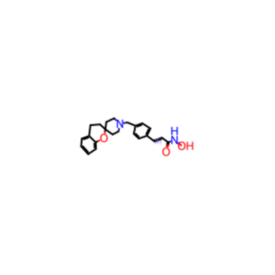 O=C(/C=C/c1ccc(CN2CCC3(CCc4ccccc4O3)CC2)cc1)NO